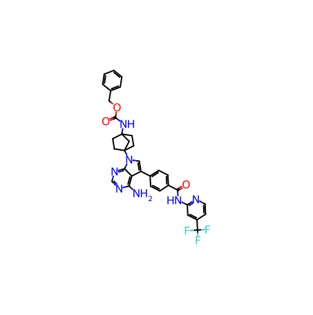 Nc1ncnc2c1c(-c1ccc(C(=O)Nc3cc(C(F)(F)F)ccn3)cc1)cn2C12CCC(NC(=O)OCc3ccccc3)(CC1)C2